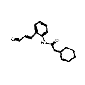 O=[C]/C=C/c1ccccc1NC(=O)CC1CCCCC1